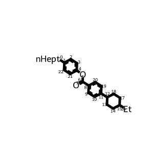 CCCCCCCc1ccc(OC(=O)c2ccc(C3CCC(CC)CC3)cc2)cc1